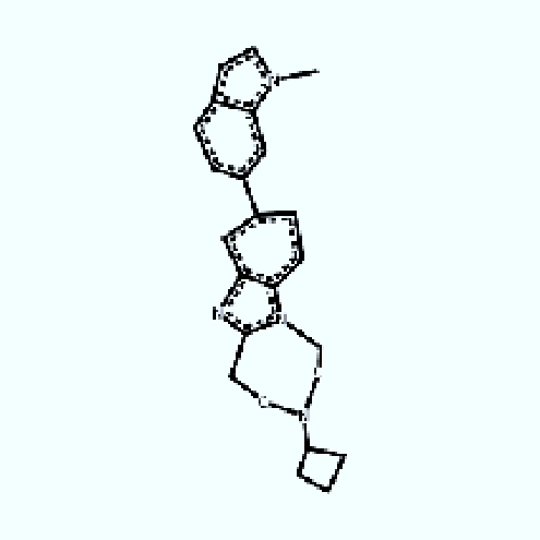 Cn1ccc2ccc(-c3ccc4c(c3)nc3n4CCN(C4CCC4)CC3)cc21